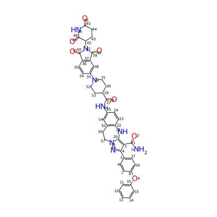 NC(=O)c1c(-c2ccc(Oc3ccccc3)cc2)nn2c1Nc1ccc(NC(=O)C3CCN(c4ccc5c(c4)C(=O)N(C4CCC(=O)NC4=O)C5=O)CC3)cc1CC2